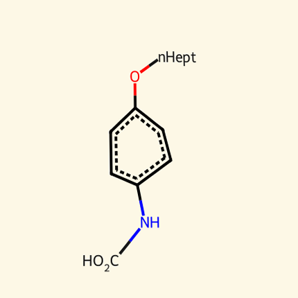 CCCCCCCOc1ccc(NC(=O)O)cc1